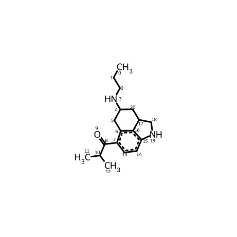 CCCNC1Cc2c(C(=O)C(C)C)ccc3c2C(CN3)C1